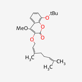 COc1c(OCC=C(C)CCC=C(C)C)c(=O)oc2c(OC(C)(C)C)cccc12